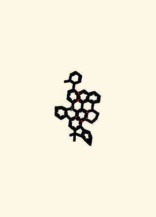 CC1C=CC=CC1c1ccc(N(c2ccccc2-c2ccc3c(c2)C(C)(C)c2c4cc-4cc2-3)c2ccccc2-c2cccc3cccc(C4CCCCC4)c23)cc1